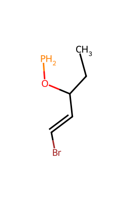 CCC(/C=C/Br)OP